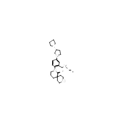 C[C@H]1CCCN1[C@H]1CCN(c2ccc(N3CCCC4(CCNCC4)C3=O)c(CN=[N+]=[N-])c2)C1